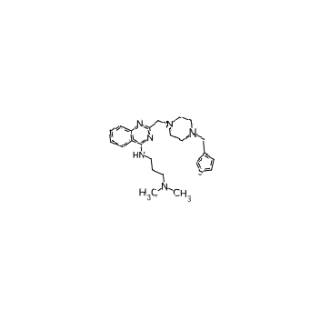 CN(C)CCCNc1nc(CN2CCN(Cc3ccsc3)CC2)nc2ccccc12